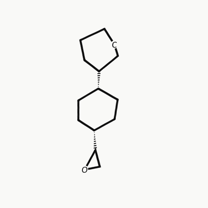 C1CCC([C@H]2CC[C@@H](C3CO3)CC2)CC1